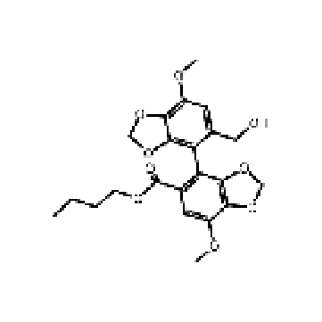 CCCCOC(=O)c1cc(OC)c2c(c1-c1c(CO)cc(OC)c3c1OCO3)OCO2